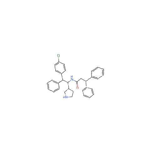 O=C(CC(c1ccccc1)c1ccccc1)NC(C1CCNC1)C(c1ccccc1)c1ccc(Cl)cc1